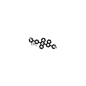 Cc1ccncc1-c1ccc(-c2c3ccccc3c(-c3ccc(-c4ccncc4)c4ccccc34)c3ccccc23)cc1